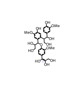 COc1cc(C(O)C(CO)c2cc(O)c(OC)cc2C(Oc2ccc(/C(O)=C(/O)CO)cc2OC)C(O)CO)ccc1O